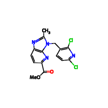 COC(=O)c1ccc2nc(C)n(Cc3ccc(Cl)nc3Cl)c2n1